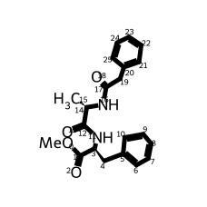 COC(=O)[C@H](Cc1ccccc1)NC(=O)[C@H](C)NC(=O)Cc1ccccc1